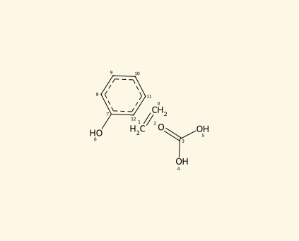 C=C.O=C(O)O.Oc1ccccc1